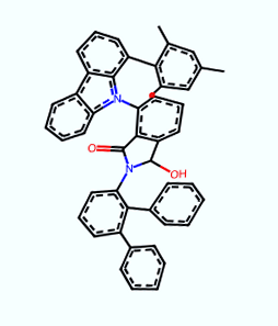 Cc1cc(C)c(-c2cccc3c4ccccc4n(-c4cccc5c4C(=O)N(c4cccc(-c6ccccc6)c4-c4ccccc4)C5O)c23)c(C)c1